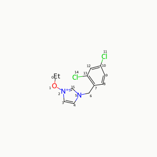 CCO[n+]1ccn(Cc2ccc(Cl)cc2Cl)c1